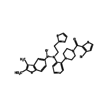 Cc1c(C(=O)O)sc2ccc([S+]([O-])N(CCc3cccs3)c3ccccc3N3CCN(C(=O)c4sccc4Br)CC3)cc12